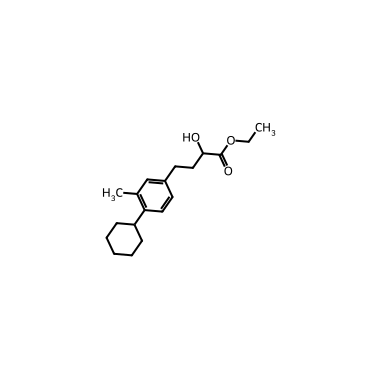 CCOC(=O)C(O)CCc1ccc(C2CCCCC2)c(C)c1